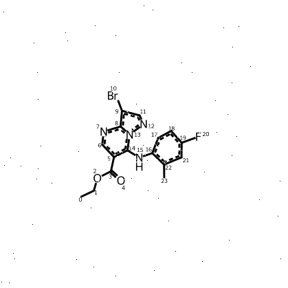 CCOC(=O)c1cnc2c(Br)cnn2c1Nc1ccc(F)cc1C